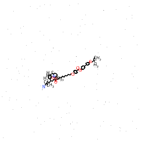 CCC(C)COc1ccc(-c2ccc(OC(=O)c3ccc(OCCCCCCCCCCOC(=O)C(CC(CCC(C)(C)C#N)c4ccccc4)ON4C(C)(C)CCCC4(C)C)cc3)cc2)cc1